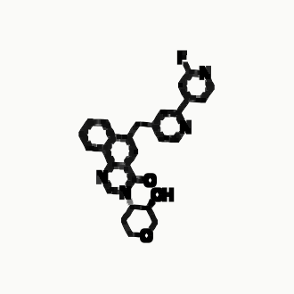 O=c1c2cc(Cc3ccnc(-c4ccnc(F)c4)c3)c3ccccc3c2ncn1[C@H]1CCOC[C@@H]1O